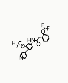 COc1cc(NC(=O)Cc2ccccc2OC(F)F)ccc1-c1ccncc1